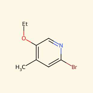 CCOc1cnc(Br)cc1C